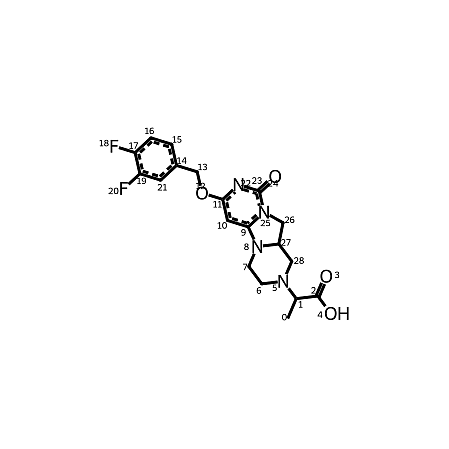 CC(C(=O)O)N1CCN2c3cc(OCc4ccc(F)c(F)c4)nc(=O)n3CC2C1